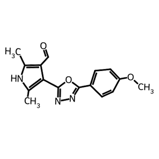 COc1ccc(-c2nnc(-c3c(C)[nH]c(C)c3C=O)o2)cc1